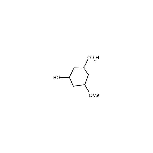 COC1CC(O)CN(C(=O)O)C1